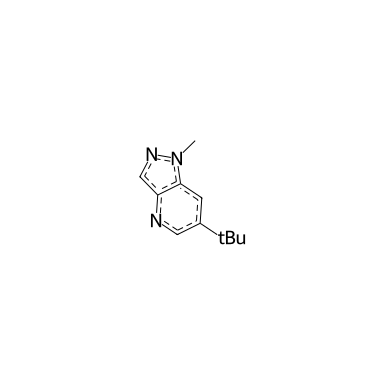 Cn1ncc2ncc(C(C)(C)C)cc21